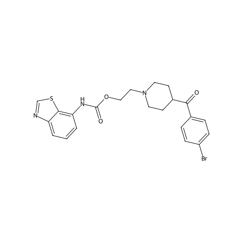 O=C(Nc1cccc2ncsc12)OCCN1CCC(C(=O)c2ccc(Br)cc2)CC1